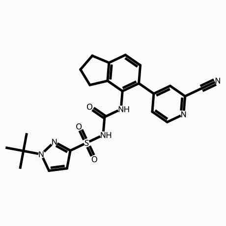 CC(C)(C)n1ccc(S(=O)(=O)NC(=O)Nc2c(-c3ccnc(C#N)c3)ccc3c2CCC3)n1